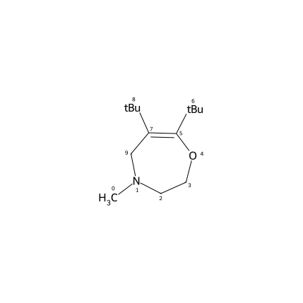 CN1CCOC(C(C)(C)C)=C(C(C)(C)C)C1